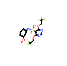 COc1cccc(NS(=O)(=O)c2c(OCC(F)(F)F)ncnc2OCC(F)(F)F)c1